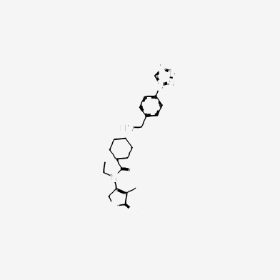 CC1=C(N2CC[C@]3(CC[C@@H](NCc4ccc(-n5cnnn5)cc4)CC3)C2=O)COC1=O